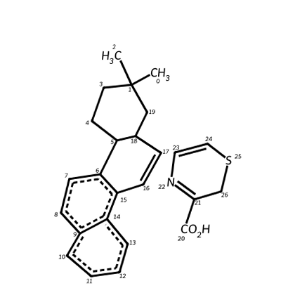 CC1(C)CCC2c3ccc4ccccc4c3C=CC2C1.O=C(O)C1=NC=CSC1